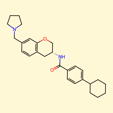 O=C(N[C@H]1COc2cc(CN3CCCC3)ccc2C1)c1ccc(C2CCCCC2)cc1